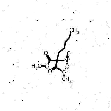 CCCCCC(C(=O)OC)(C(=O)OC)[N+](=O)[O-]